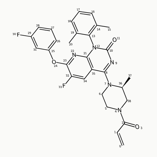 C=CC(=O)N1CCN(c2nc(=O)n(-c3c(C)cccc3C)c3nc(Oc4cccc(F)c4)c(F)cc23)[C@@H](C)C1